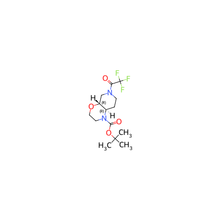 CC(C)(C)OC(=O)N1CCO[C@@H]2CN(C(=O)C(F)(F)F)CC[C@H]21